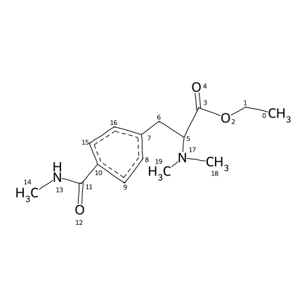 CCOC(=O)C(Cc1ccc(C(=O)NC)cc1)N(C)C